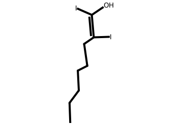 CCCCCCC(I)=C(O)I